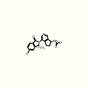 CCC(=O)N[C@H]1CCc2c1cncc2N1C(=O)c2ccc(Cl)cc2[C@H]1C